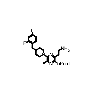 CCCCCc1nc(C)c(N2CCC(Cc3ccc(F)cc3F)CC2)nc1CCN